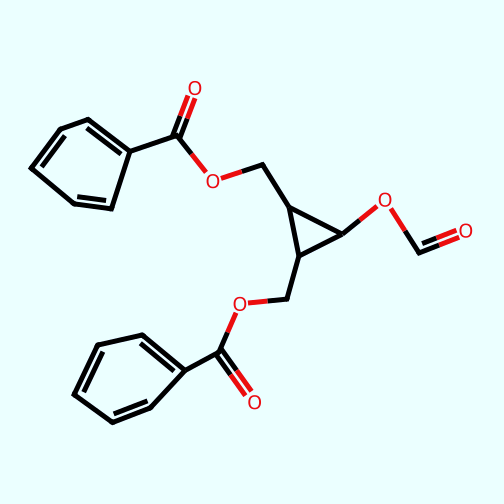 O=COC1C(COC(=O)c2ccccc2)C1COC(=O)c1ccccc1